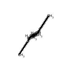 CCCCCCCCCCCCCCCCCCSCCC(=O)OCC(C)(C)C1OCC2(CO1)COC(C(C)(C)COC(=O)CCSCCCCCCCCCCCCCCCCCC)OC2